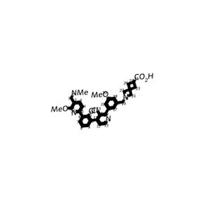 CNCc1ccc(-c2cccc(-c3ccnc(-c4cc(CN5CC6(CC(C(=O)O)C6)C5)cc(OC)c4)c3Cl)c2Cl)nc1OC